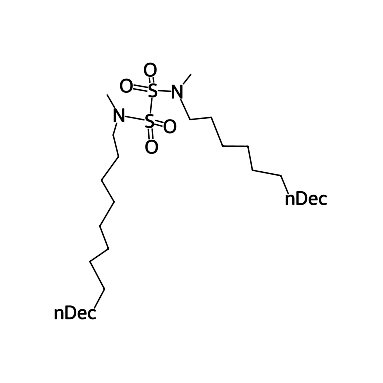 CCCCCCCCCCCCCCCCCCN(C)S(=O)(=O)S(=O)(=O)N(C)CCCCCCCCCCCCCCCC